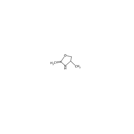 C=C1NC(C)CO1